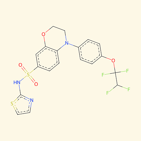 O=S(=O)(Nc1nccs1)c1ccc2c(c1)OCCN2c1ccc(OC(F)(F)C(F)F)cc1